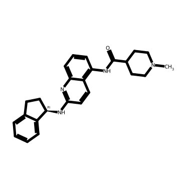 CN1CCC(C(=O)Nc2cccc3nc(N[C@@H]4CCc5ccccc54)ccc23)CC1